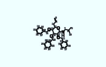 C=CCC1OC(NCC(C)C)C(OCc2ccccc2)C(OCc2ccccc2)C1OCc1ccccc1